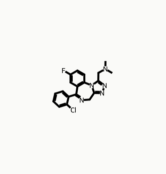 CN(C)Cc1nnc2n1-c1ccc(F)cc1C(c1ccccc1Cl)=NC2